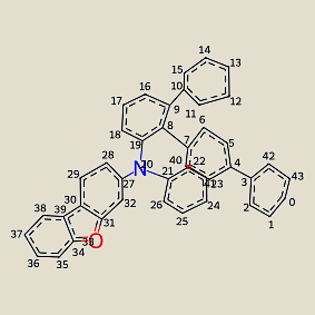 c1ccc(-c2ccc(-c3c(-c4ccccc4)cccc3N(c3ccccc3)c3ccc4c(c3)oc3ccccc34)cc2)cc1